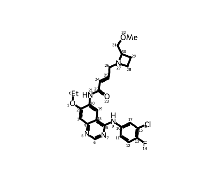 CCOc1cc2ncnc(Nc3ccc(F)c(Cl)c3)c2cc1NC(=O)C=CCN1CCC1COC